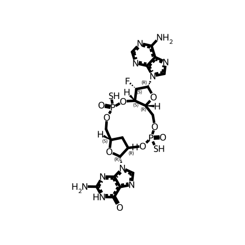 Nc1nc2c(ncn2[C@@H]2O[C@@H]3COP(=O)(S)O[C@@H]4[C@H](F)[C@H](n5cnc6c(N)ncnc65)O[C@@H]4COP(=O)(S)O[C@@H]2C3)c(=O)[nH]1